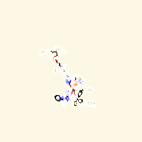 COc1ccc(C(OC[C@H]2O[C@@H](n3cnc4c(NC(=O)c5ccccc5)ncnc43)[C@H](OCc3cn(CCOCCNC(=O)CCCCOC4OC(COC(C)=O)C(OC(C)=O)C(OC(C)=O)C4C)nn3)[C@@H]2OP(OCCC#N)N(C(C)C)C(C)C)(c2ccccc2)c2ccc(OC)cc2)cc1